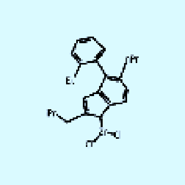 CCCc1ccc2c(c1-c1ccccc1CC)C=C(CC(C)C)[CH]2[Zr]([Cl])[Cl]